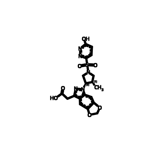 C[C@@H]1CN(S(=O)(=O)c2ccc(O)nn2)C[C@@H]1n1nc(CC(=O)O)c2cc3c(cc21)OCO3